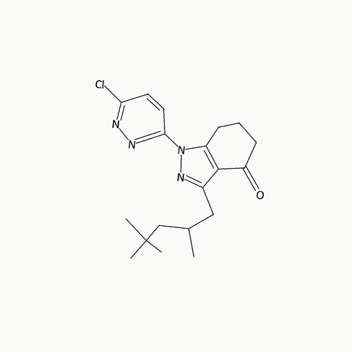 CC(Cc1nn(-c2ccc(Cl)nn2)c2c1C(=O)CCC2)CC(C)(C)C